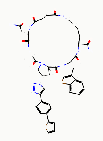 CC[C@H](C)[C@@H]1NC(=O)[C@H](CC(N)=O)NC(=O)CCC(=O)NCCCC[C@@H](C(N)=O)NC(=O)[C@H](Cc2csc3ccccc23)NC(=O)[C@@H]2C[C@H](n3cc(-c4ccc(-c5cccs5)cc4)nn3)CN2C1=O